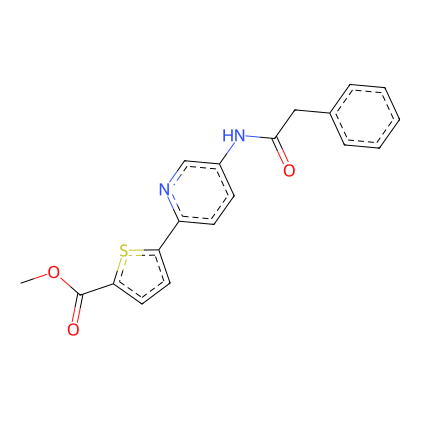 COC(=O)c1ccc(-c2ccc(NC(=O)Cc3ccccc3)cn2)s1